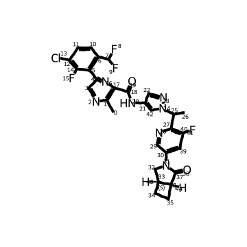 Cc1ncc(-c2c(C(F)F)ccc(Cl)c2F)nc1C(=O)Nc1cnn(C(C)c2ncc(N3C[C@H]4CC[C@H]4C3=O)cc2F)c1